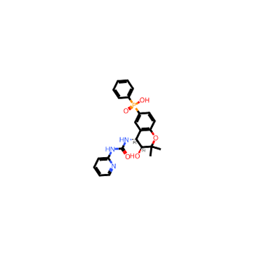 CC1(C)Oc2ccc(P(=O)(O)c3ccccc3)cc2[C@@H](NC(=O)Nc2ccccn2)[C@@H]1O